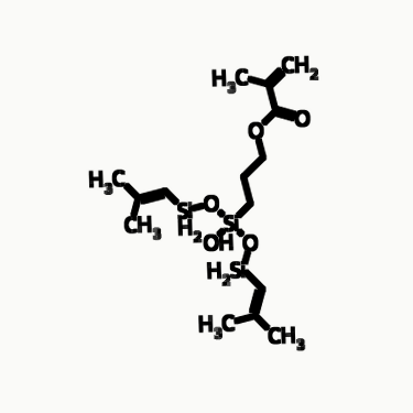 C=C(C)C(=O)OCCC[Si](O)(O[SiH2]C=C(C)C)O[SiH2]C=C(C)C